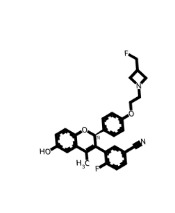 CC1=C(c2cc(C#N)ccc2F)[C@H](c2ccc(OCCN3CC(CF)C3)cc2)Oc2ccc(O)cc21